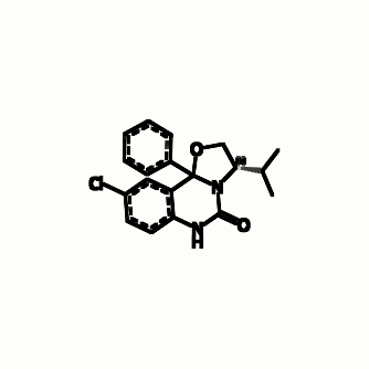 CC(C)[C@H]1COC2(c3ccccc3)c3cc(Cl)ccc3NC(=O)N12